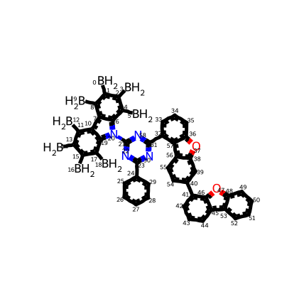 Bc1c(B)c(B)c2c(c1B)c1c(B)c(B)c(B)c(B)c1n2-c1nc(-c2ccccc2)nc(-c2cccc3oc4cc(-c5cccc6c5oc5ccccc56)ccc4c23)n1